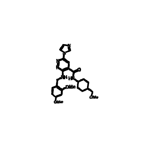 COCC1CCC(NC(=O)c2cc(-n3ccnc3)nnc2NCc2ccc(OC)cc2OC)CC1